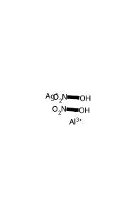 O=[N+]([O-])O.O=[N+]([O-])O.[Ag+].[Al+3]